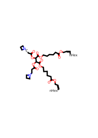 CCCCCC/C=C\COC(=O)CCCCCOC(=O)C(OC(=O)CCN1CCC1)C(OC(=O)CCN1CCC1)C(=O)OCCCCCC(=O)OC/C=C\CCCCCC